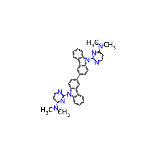 CN(C)c1ccnc(-n2c3ccccc3c3cc(-c4ccc5c(c4)c4ccccc4n5-c4nccc(N(C)C)n4)ccc32)n1